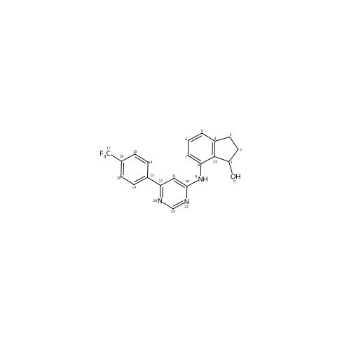 OC1CCc2cccc(Nc3cc(-c4ccc(C(F)(F)F)cc4)ncn3)c21